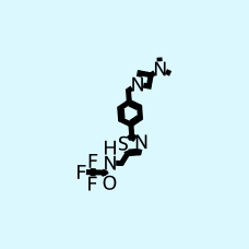 CN(C)C1CN(Cc2ccc(-c3ncc(CNC(=O)C(F)(F)F)s3)cc2)C1